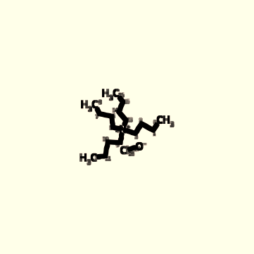 CCCC[N+](CCCC)(CCCC)CCCC.[O-]Cl